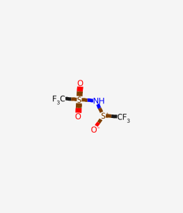 O=S(=O)(N[S+]([O-])C(F)(F)F)C(F)(F)F